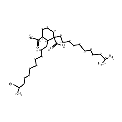 CC(C)CCCCCCCCCC1C(C(=O)O)CCCC1(CCCCCCCCCC(C)C)C(=O)O